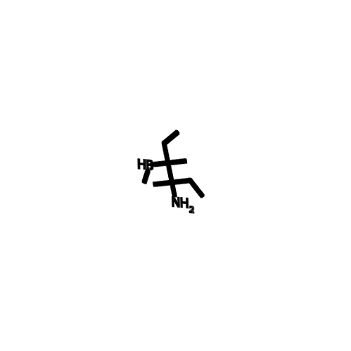 CBC(C)(CC)C(C)(N)CC